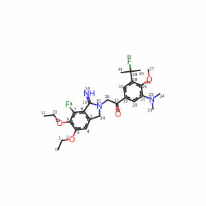 CCOc1cc2c(c(F)c1OCC)C(=N)N(CC(=O)c1cc(N(C)C)c(OC)c(C(C)(C)F)c1)C2